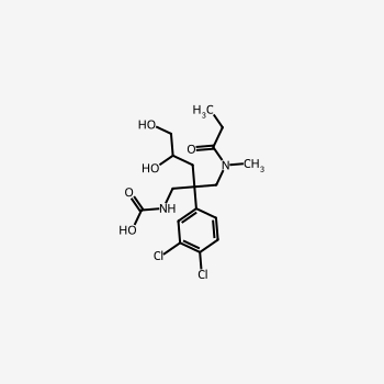 CCC(=O)N(C)CC(CNC(=O)O)(CC(O)CO)c1ccc(Cl)c(Cl)c1